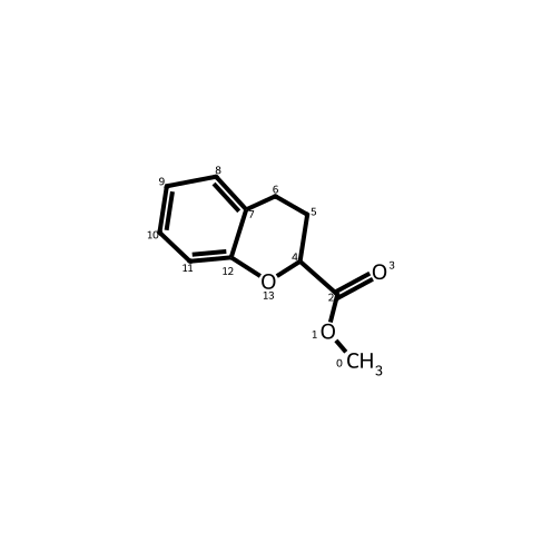 COC(=O)C1CCc2ccccc2O1